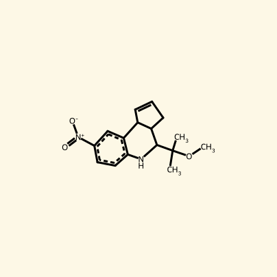 COC(C)(C)C1Nc2ccc([N+](=O)[O-])cc2C2C=CCC21